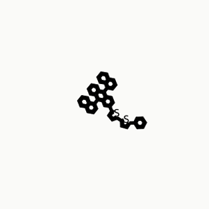 c1ccc(-c2ccc(-c3ccc(-c4ccc5c(-c6cccc7ccccc67)c6ccccc6c(-c6cccc7ccccc67)c5c4)s3)s2)cc1